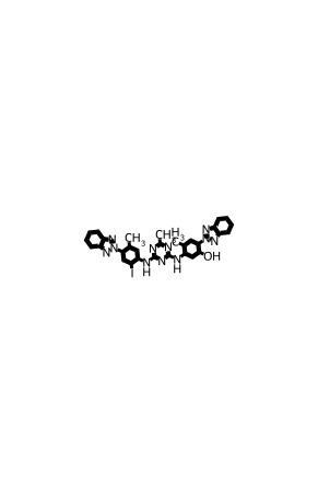 Cc1nc(Nc2cc(O)c(-n3nc4ccccc4n3)cc2C)nc(Nc2cc(C)c(-n3nc4ccccc4n3)cc2I)n1